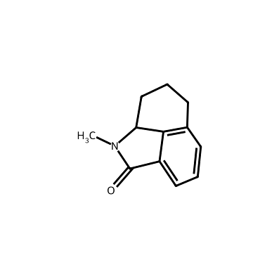 CN1C(=O)c2cccc3c2C1CCC3